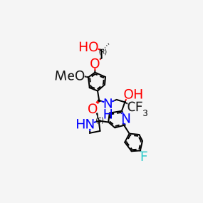 COc1cc(C(=O)NCC(O)(c2cc([C@]3(C)CCN3)cc(-c3ccc(F)cc3)n2)C(F)(F)F)ccc1OC[C@@H](C)O